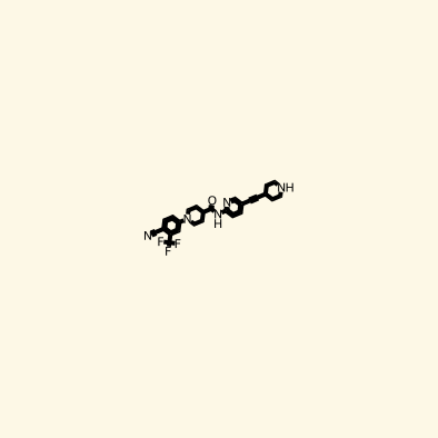 N#Cc1ccc(N2CCC(C(=O)Nc3ccc(C#CC4CCNCC4)cn3)CC2)cc1C(F)(F)F